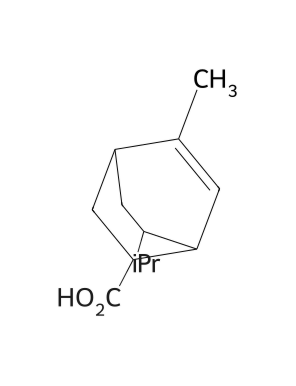 CC1=CC2C(C(=O)O)CC1CC2C(C)C